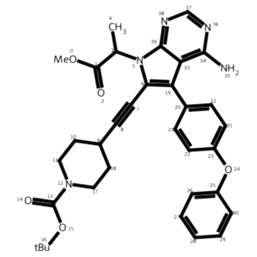 COC(=O)C(C)n1c(C#CC2CCN(C(=O)OC(C)(C)C)CC2)c(-c2ccc(Oc3ccccc3)cc2)c2c(N)ncnc21